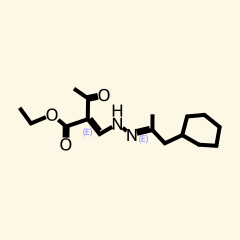 CCOC(=O)/C(=C/N/N=C(\C)CC1CCCCC1)C(C)=O